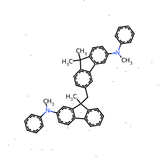 CN(c1ccccc1)c1ccc2c(c1)-c1cc(CC3(C)c4ccccc4-c4ccc(N(C)c5ccccc5)cc43)ccc1C2(C)C